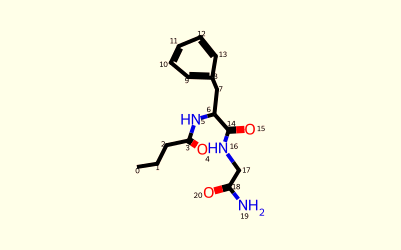 CCCC(=O)NC(Cc1ccccc1)C(=O)NCC(N)=O